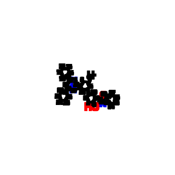 Oc1ccc(-c2cccc(-c3nc(-c4ccccc4)cc(-c4ccccc4)n3)c2)cc1-c1nc2ccccc2o1.[Li]